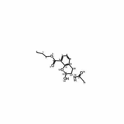 CCCOC(=O)c1cccc2c1OB(O)[C@@H](NC(C)=O)C2